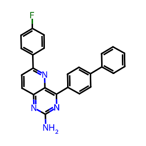 Nc1nc(-c2ccc(-c3ccccc3)cc2)c2nc(-c3ccc(F)cc3)ccc2n1